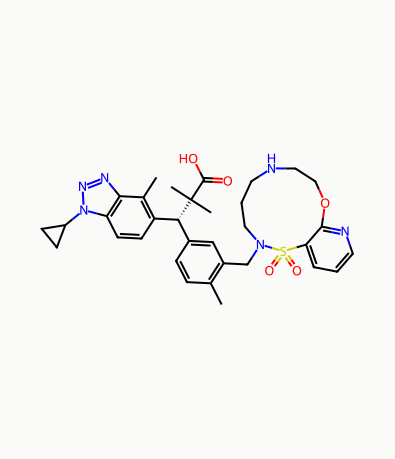 Cc1ccc([C@H](c2ccc3c(nnn3C3CC3)c2C)C(C)(C)C(=O)O)cc1CN1CCCNCCOc2ncccc2S1(=O)=O